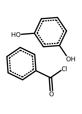 O=C(Cl)c1ccccc1.Oc1cccc(O)c1